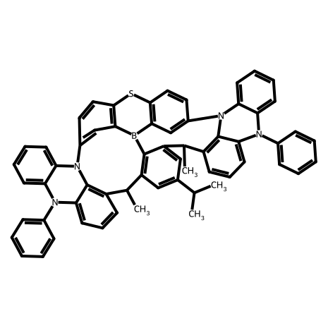 CC(C)c1cc2c3c(c1)C(C)c1cccc4c1N(c1ccc5c(c1)B3c1cc(ccc1S5)N1c3ccccc3N(c3ccccc3)c3cccc(c31)C2C)c1ccccc1N4c1ccccc1